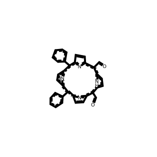 O=Cc1c2nc(c(-c3ccccc3)c3ccc([nH]3)c(-c3ccccc3)c3nc(c(C=O)c4ccc1[nH]4)C=C3)C=C2